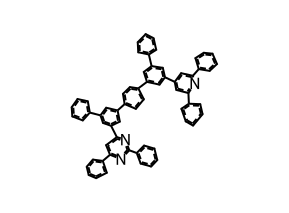 c1ccc(-c2cc(-c3ccc(-c4cc(-c5ccccc5)cc(-c5cc(-c6ccccc6)nc(-c6ccccc6)n5)c4)cc3)cc(-c3cc(-c4ccccc4)nc(-c4ccccc4)c3)c2)cc1